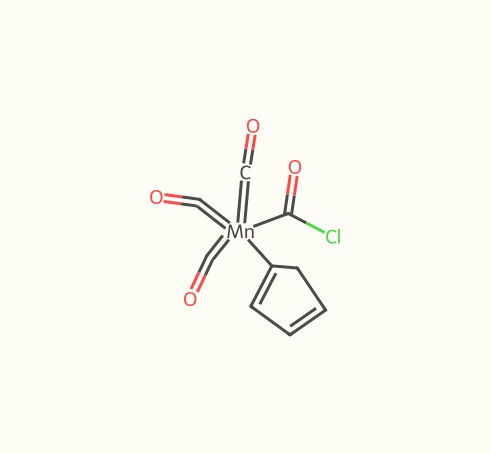 O=[C]=[Mn](=[C]=O)(=[C]=O)([C](=O)Cl)[C]1=CC=CC1